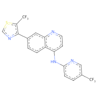 FC(F)(F)c1ccc(Nc2ccnc3cc(-c4ncsc4C(F)(F)F)ccc23)nc1